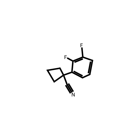 N#CC1(c2cccc(F)c2F)CCC1